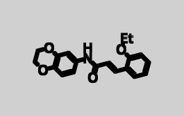 CCOc1ccccc1/C=C/C(=O)Nc1ccc2c(c1)OCCO2